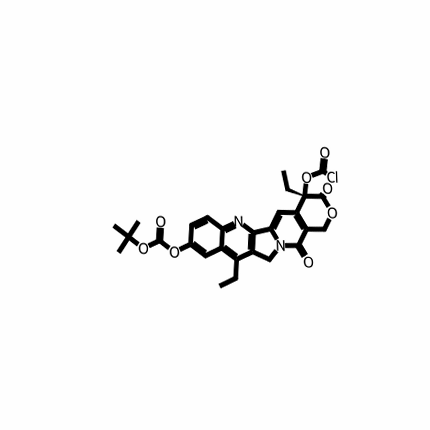 CCc1c2c(nc3ccc(OC(=O)OC(C)(C)C)cc13)-c1cc3c(c(=O)n1C2)COC(=O)[C@@]3(CC)OC(=O)Cl